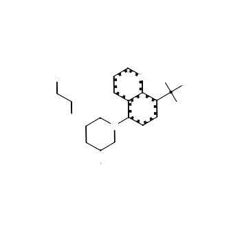 C[C@@H]1C[C@H](OCCN)CN(c2ccc(C(F)(F)F)c3ncccc23)C1